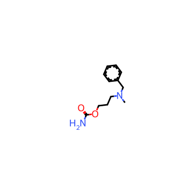 CN(CCCOC(N)=O)Cc1ccccc1